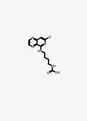 O=C(O)NCCCCNc1nc(Cl)cc2nccnc12